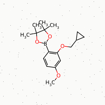 COc1ccc(B2OC(C)(C)C(C)(C)O2)c(OCC2CC2)c1